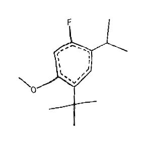 COc1cc(F)c(C(C)C)cc1C(C)(C)C